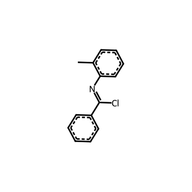 Cc1ccccc1N=C(Cl)c1ccccc1